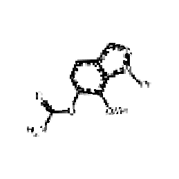 COc1c(OC(N)=O)ccc2cnn(C(C)C)c12